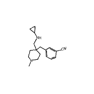 CN1CCC(CNC2CC2)(Cc2cccc(C#N)c2)CC1